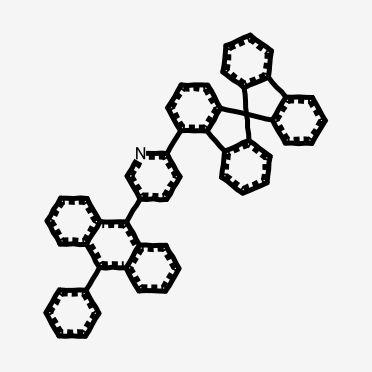 c1ccc(-c2c3ccccc3c(-c3ccc(-c4cccc5c4-c4ccccc4C54c5ccccc5-c5ccccc54)nc3)c3ccccc23)cc1